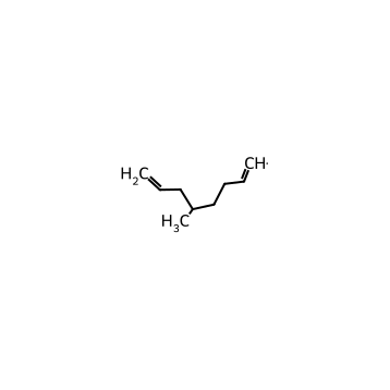 [CH]=CCCC(C)CC=C